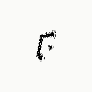 CC(C)(c1ccc(OCc2ccnc(N3CCN(C4CCN(C5CCC6(CC5)CN(c5ccc7c(c5)C(=O)N(C5CCC(=O)NC5=O)C7=O)C6)CC4)CC3)n2)cc1)c1cc(Cl)cc(C#N)c1.O=C(O)C(F)(F)F